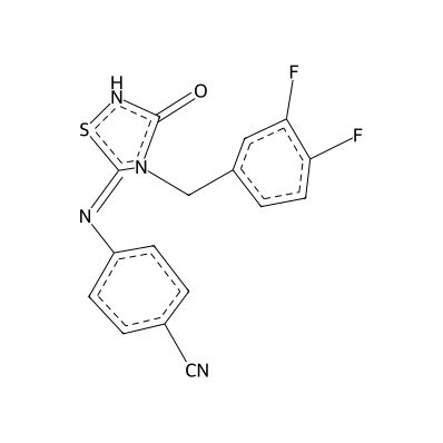 N#Cc1ccc(N=c2s[nH]c(=O)n2Cc2ccc(F)c(F)c2)cc1